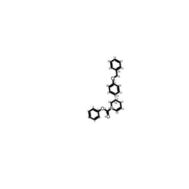 O=C(Oc1ccccc1)N1C=CC[C@@H](c2ccc(OCc3ccccc3)cc2)C1